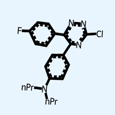 CCCN(CCC)c1ccc(-c2nc(Cl)nnc2-c2ccc(F)cc2)cc1